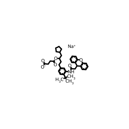 CC(C)(C)c1ccc(CCC(CC2CCCC2)OC(=O)CCC(=O)[O-])cc1NC(=O)CC1c2ccccc2Oc2ccccc21.[Na+]